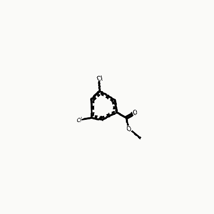 COC(=O)c1[c]c(Cl)cc(Cl)c1